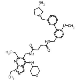 CCc1nc2c(cnn2CC)c(NC2CCOCC2)c1CNC(=O)CCC(=O)NCc1ccc(OC)c(-c2cccc(CN3CC[C@H](N)C3)c2)c1